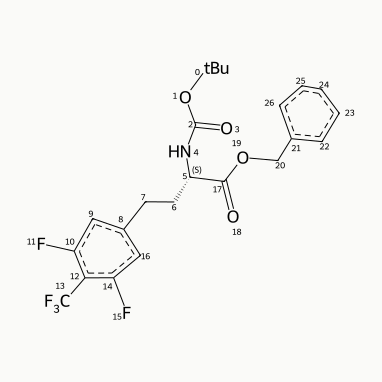 CC(C)(C)OC(=O)N[C@@H](CCc1cc(F)c(C(F)(F)F)c(F)c1)C(=O)OCc1ccccc1